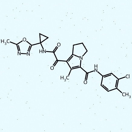 Cc1nnc(C2(NC(=O)C(=O)c3c(C)c(C(=O)Nc4ccc(C)c(Cl)c4)n4c3CCC4)CC2)o1